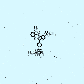 COC(=O)c1ccc2c(C3=CCC(C(=O)OC(C)(C)C)CC3)nn(C(=O)c3c(C)cccc3Cl)c2c1